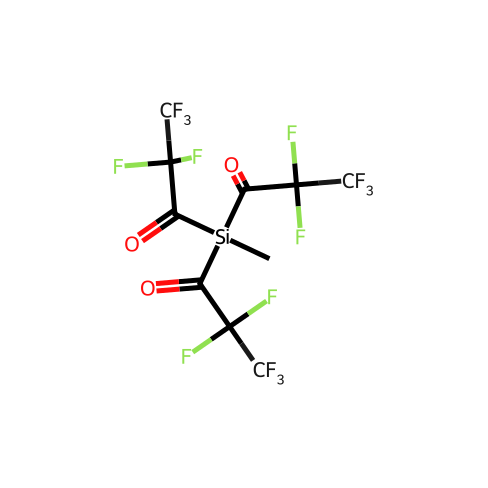 C[Si](C(=O)C(F)(F)C(F)(F)F)(C(=O)C(F)(F)C(F)(F)F)C(=O)C(F)(F)C(F)(F)F